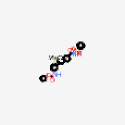 COc1cc(C(=O)NS(=O)(=O)c2ccccc2)ccc1Cc1csc2ccc(NC(=O)OC3CCCC3)cc12